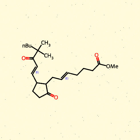 CCCCC(C)(C)C(=O)/C=C/C1CCC(=O)C1C/C=C/CCCC(=O)OC